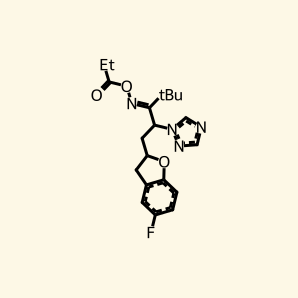 CCC(=O)ON=C(C(CC1Cc2cc(F)ccc2O1)n1cncn1)C(C)(C)C